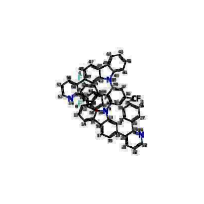 Fc1cc(F)cc(-c2c(-n3c4ccccc4c4ccc(-c5cccnc5-c5ccccc5)cc43)cc(C(F)(F)F)cc2-n2c3ccccc3c3ccc(-c4cccnc4-c4ccccc4)cc32)c1